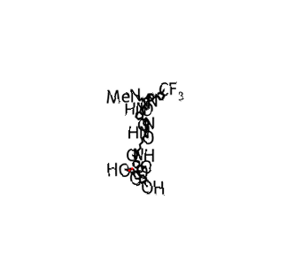 CNCC[C@H]1c2ccc(-c3cccc(C(F)(F)F)c3)nc2N1C(=O)Nc1cccc(-c2cnc(CNC(=O)CCCCCNC(=O)c3ccc4c(c3)C(=O)OC43c4ccc(O)cc4Oc4cc(O)ccc43)o2)c1